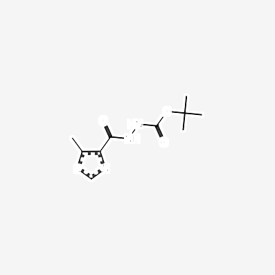 Cc1scnc1C(=O)NNC(=O)OC(C)(C)C